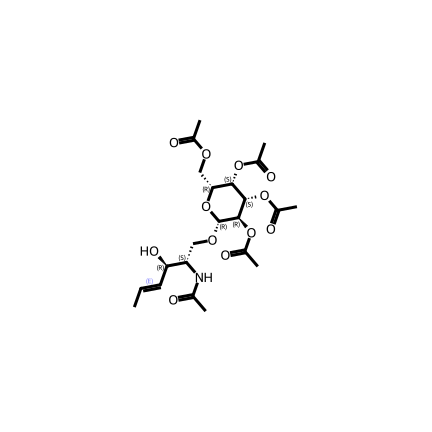 C/C=C/[C@@H](O)[C@H](CO[C@@H]1O[C@H](COC(C)=O)[C@H](OC(C)=O)[C@H](OC(C)=O)[C@H]1OC(C)=O)NC(C)=O